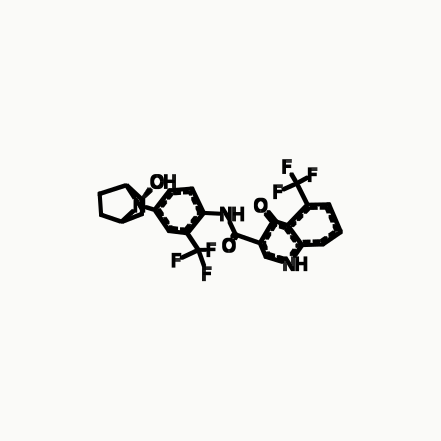 O=C(Nc1ccc(N2C3CCC2[C@@H](O)C3)cc1C(F)(F)F)c1c[nH]c2cccc(C(F)(F)F)c2c1=O